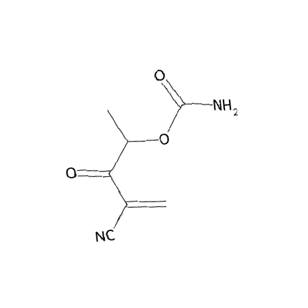 C=C(C#N)C(=O)C(C)OC(N)=O